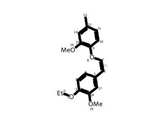 CCOc1ccc(/C=C\Oc2ccc(C)cc2OC)cc1OC